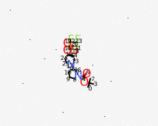 CC(C)(C)OC(=O)N1CCCC(N2CC=C(OS(=O)(=O)C(F)(F)F)CC2)C1